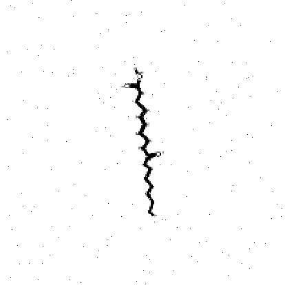 CCCCCCCCC(=O)CCCCCCCCC(=O)OC